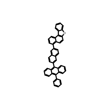 c1ccc(-c2c3ccccc3c(-c3ccc4cc(-c5cccc6c5ccc5oc7ccccc7c56)ccc4c3)c3ccccc23)cc1